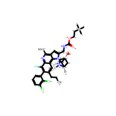 CSc1nc2c(F)c(-c3cccc(Cl)c3Cl)c(CCC#N)cc2c2c1cc([C@@H](C)NC(=O)OCC[Si](C)(C)C)n2[C@H]1[C@@H]2C[C@H]1N(C(=O)O)C2